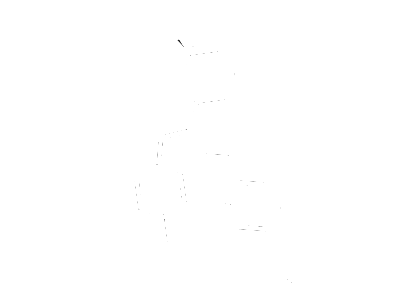 N#Cc1ccc(Cn2c(N3CC[C@@H](F)[C@H](N)C3)nc3cc(Cl)c(Cl)cc32)nc1